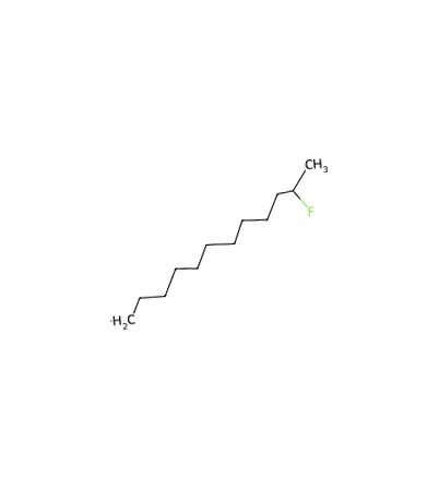 [CH2]CCCCCCCCCC(C)F